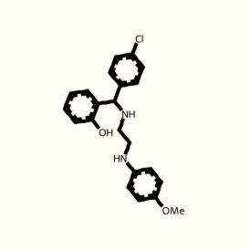 COc1ccc(NCCNC(c2ccc(Cl)cc2)c2ccccc2O)cc1